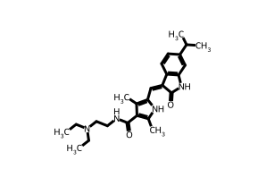 CCN(CC)CCNC(=O)c1c(C)[nH]c(C=C2C(=O)Nc3cc(C(C)C)ccc32)c1C